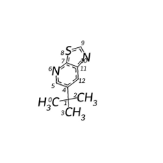 CC(C)(C)c1cnc2scnc2c1